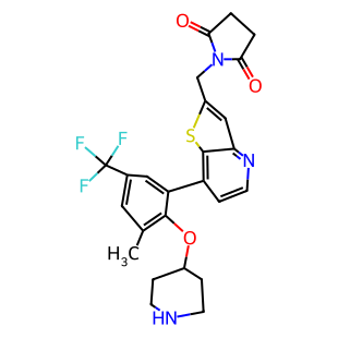 Cc1cc(C(F)(F)F)cc(-c2ccnc3cc(CN4C(=O)CCC4=O)sc23)c1OC1CCNCC1